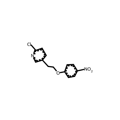 O=[N+]([O-])c1ccc(OCCc2ccc(Cl)nc2)cc1